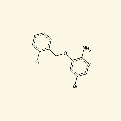 Nc1ncc(Br)cc1OCc1ccccc1Cl